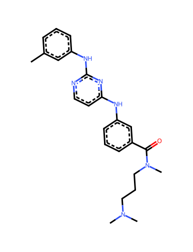 Cc1cccc(Nc2nccc(Nc3cccc(C(=O)N(C)CCCN(C)C)c3)n2)c1